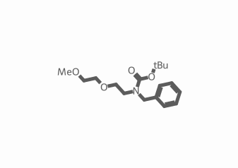 COCCOCCN(Cc1ccccc1)C(=O)OC(C)(C)C